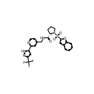 O=C(NCc1ccnc(-c2cc(C(F)(F)F)n[nH]2)c1)[C@@H]1CCCN1S(=O)(=O)c1cc2ccccc2o1